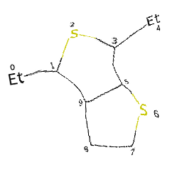 CCC1SC(CC)C2SCCC12